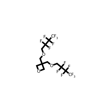 FC(F)(F)C(F)(F)C(F)(F)COCC1(COCC(F)(F)C(F)(F)C(F)(F)F)COC1